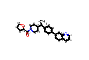 CC(c1ccc(-c2ccc3cccnc3c2)cc1)C1CCN(C(=O)[C@H]2CCCO2)CC1